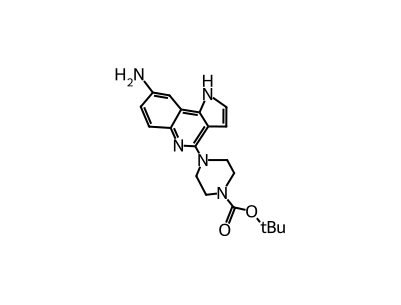 CC(C)(C)OC(=O)N1CCN(c2nc3ccc(N)cc3c3[nH]ccc23)CC1